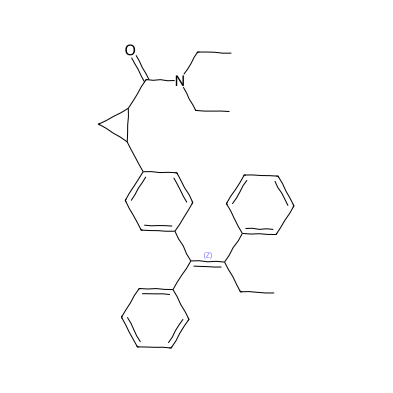 CC/C(=C(\c1ccccc1)c1ccc(C2CC2C(=O)N(CC)CC)cc1)c1ccccc1